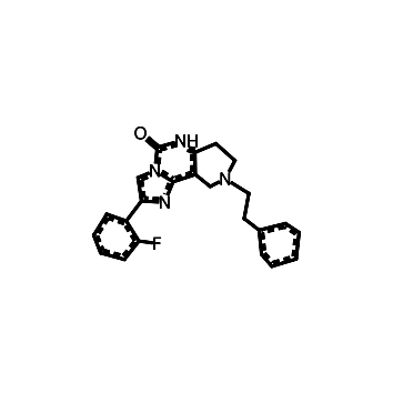 O=c1[nH]c2c(c3nc(-c4ccccc4F)cn13)CN(CCc1ccccc1)CC2